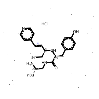 CCCC[C@H](N)CNC(=O)[C@H](Cc1ccc(O)cc1)N[C@H](/C=C/c1ccncc1)CC(C)C.Cl